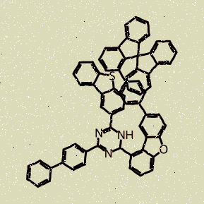 c1ccc(-c2ccc(C3=NC(c4cccc5oc6ccc(-c7ccc(-c8cccc9c8C8(c%10ccccc%10-c%10ccccc%108)c8ccccc8-9)cc7)cc6c45)NC(c4ccc5sc6ccccc6c5c4)=N3)cc2)cc1